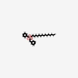 CCCCCCCCCCCCCCCC(=O)OC(OCCc1ccccc1)c1ccccc1